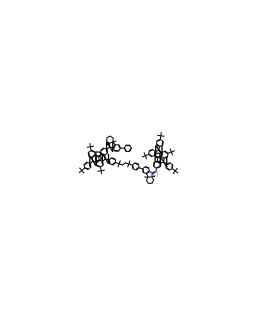 CC(C)(C)c1ccc(N2c3ccc(C(C)(C)C)cc3B3c4ccc(/C=C5\c6ccc(-c7ccc(C(C)(C)CCC(C)(C)c8ccc(N9c%10cc(N%11c%12ccc(-c%13ccccc%13)cc%12C%12(C)CCCCC%11%12C)ccc%10B%10c%11cc(C(C)(C)C)ccc%11N(c%11ccc(C(C)(C)C)cc%11)c%11cc(C(C)(C)C)cc9c%11%10)cc8)cc7)cc6C6(C)CCCCC56C)cc4N(c4ccc(C(C)(C)C)cc4)c4cc(C(C)(C)C)cc2c43)cc1